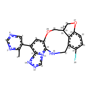 Cc1ncncc1-c1cc2c(n3cnnc13)NCc1c(F)ccc3c1[C@@H](CO3)CO2